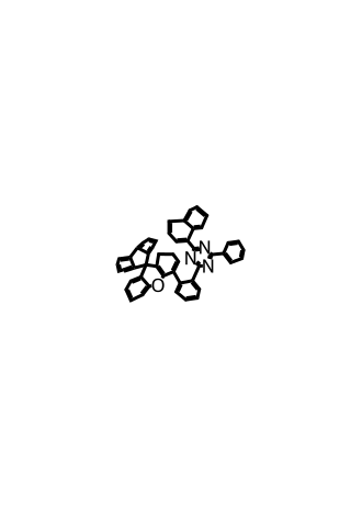 C1=C(c2ccccc2-c2nc(-c3ccccc3)nc(-c3cccc4ccccc34)n2)C2=C(CC1)C1(c3ccccc3O2)c2ccccc2-c2ccccc21